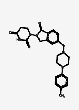 Cc1ccc(N2CCN(Cc3ccc4c(c3)CN(N3CCC(=O)NC3=O)C4=O)CC2)cc1